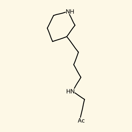 CC(=O)CNCCCC1CCCNC1